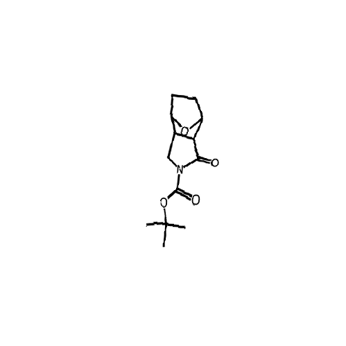 CC(C)(C)OC(=O)N1CC2C3CCC(O3)C2C1=O